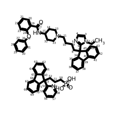 CCn1ccnc1C1(CCCCN2CCC(NC(=O)c3ccccc3Oc3ccccc3)CC2)c2ccccc2-c2ccccc21.O=P(O)(O)CCCC1(c2ccccn2)c2ccccc2-c2ccccc21